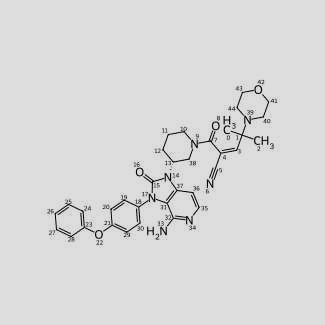 CC(C)(/C=C(/C#N)C(=O)N1CCC[C@@H](n2c(=O)n(-c3ccc(Oc4ccccc4)cc3)c3c(N)nccc32)C1)N1CCOCC1